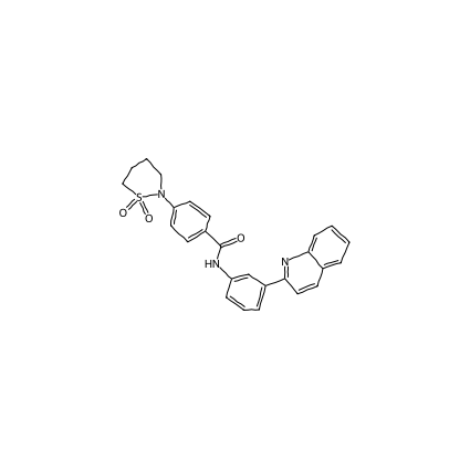 O=C(Nc1cccc(-c2ccc3ccccc3n2)c1)c1ccc(N2CCCCS2(=O)=O)cc1